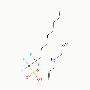 C=CCNCC=C.CCCCCCCCC(F)(F)C(F)(F)S(=O)(=O)O